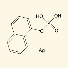 O=P(O)(O)Oc1cccc2ccccc12.[Ag]